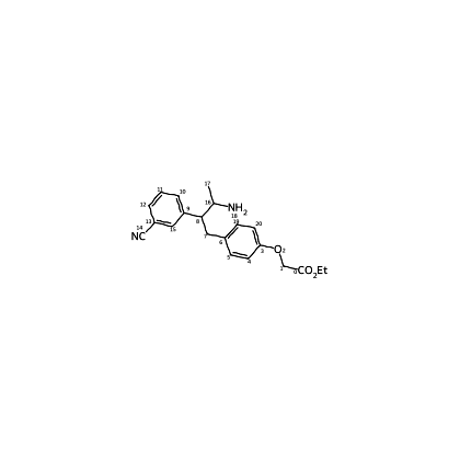 CCOC(=O)COc1ccc(CC(c2cccc(C#N)c2)C(C)N)cc1